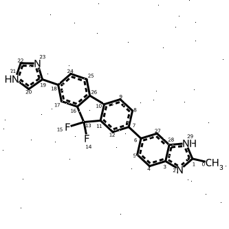 Cc1nc2ccc(-c3ccc4c(c3)C(F)(F)c3cc(-c5c[nH]cn5)ccc3-4)cc2[nH]1